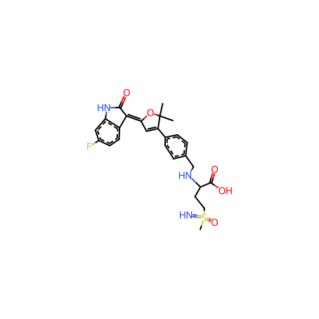 CC1(C)OC(=C2C(=O)Nc3cc(F)ccc32)C=C1c1ccc(CNC(CCS(C)(=N)=O)C(=O)O)cc1